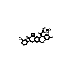 C/C(=C1\c2ccc(Cn3c(C4=CC=C4)nc4c(Cl)nccc43)cc2COc2cc(F)ccc21)c1noc(=O)[nH]1